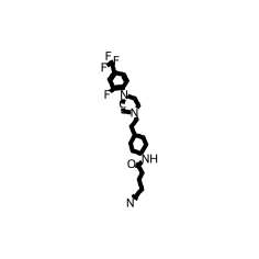 N#CCCCC(=O)NC1CCC(CCN2CCN(c3ccc(C(F)(F)F)cc3F)CC2)CC1